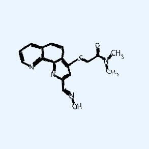 CN(C)C(=O)CSc1cc(/C=N/O)nc2c1ccc1cccnc12